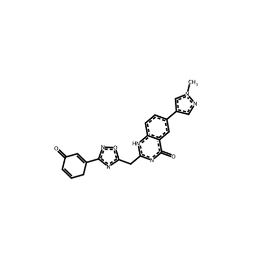 Cn1cc(-c2ccc3[nH]c(Cc4nc(C5=CC(=O)C=CC5)no4)nc(=O)c3c2)cn1